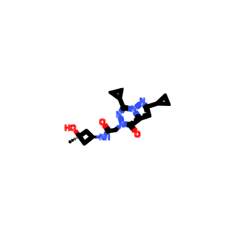 C[C@]1(O)C[C@@H](NC(=O)Cn2nc(C3CC3)n3nc(C4CC4)cc3c2=O)C1